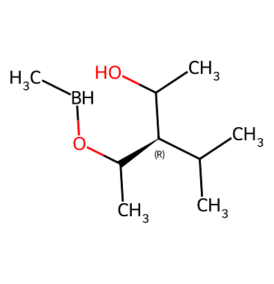 CBOC(C)[C@H](C(C)C)C(C)O